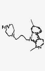 Cc1ccc2c3ccnc(C)c3n(CCCN3CCNCC3)c2c1